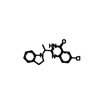 CC(c1nc2ccc(Cl)cc2c(=O)[nH]1)N1CCc2ccccc21